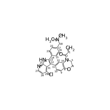 C=CC(=O)N1CCOc2ccc(-c3c(-c4ccc(CN(C)C)cc4)[nH]c4nccc(Cl)c34)cc21